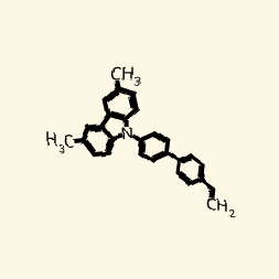 C=Cc1ccc(-c2ccc(-n3c4ccc(C)cc4c4cc(C)ccc43)cc2)cc1